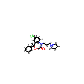 CC1(c2ccccc2)OCC(=O)N(CCCN2CCCC2)c2ccc(Cl)cc21